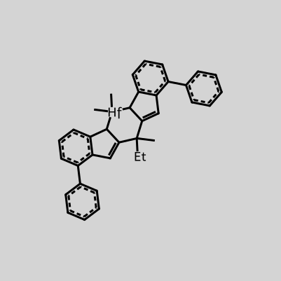 CCC1(C)C2=Cc3c(-c4ccccc4)cccc3[CH]2[Hf]([CH3])([CH3])[CH]2C1=Cc1c(-c3ccccc3)cccc12